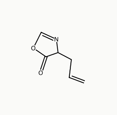 C=CCC1N=COC1=O